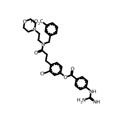 N=C(N)Nc1ccc(C(=O)Oc2ccc(CCC(=O)N(CCN3CCOCC3)Cc3cccc(C(=O)O)c3)c(Cl)c2)cc1